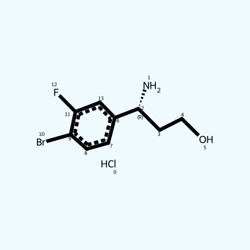 Cl.N[C@H](CCO)c1ccc(Br)c(F)c1